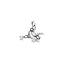 C#CCN1C(=O)COc2cc(F)c(/N=c3\snc4n3CC(C)(C)C4)cc21.CSc1nnc(C(C)(C)C)c(=O)n1N